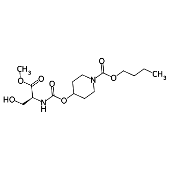 CCCCOC(=O)N1CCC(OC(=O)N[C@@H](CO)C(=O)OC)CC1